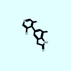 Cc1cc(-c2c(C)cncc2Cl)cc2c1NC(=O)C2